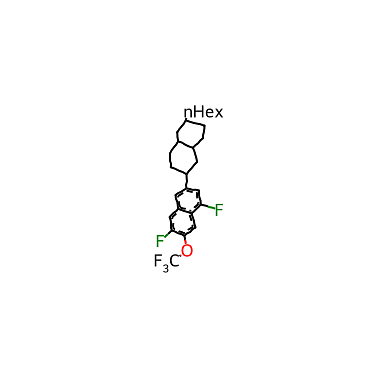 CCCCCCC1CCC2CC(c3cc(F)c4cc(OC(F)(F)F)c(F)cc4c3)CCC2C1